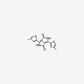 Cc1csc(C2=C3C(=O)NC(c4cc(C)cs4)=C3C(=O)N2)c1